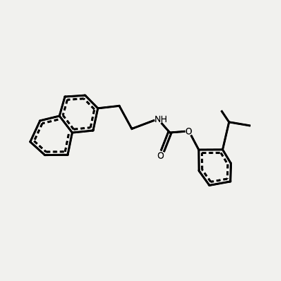 CC(C)c1ccccc1OC(=O)NCCc1ccc2ccccc2c1